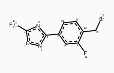 Fc1cc(-c2noc(C(F)(F)F)n2)ccc1CBr